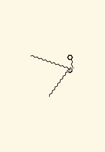 CCCCCCCCCCCCCCCCCCc1n(CCCCCCCCCCCCCC)cc[n+]1CCCc1ccccc1